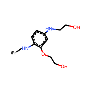 CC(C)CNc1ccc(NCCO)cc1OCCO